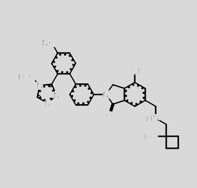 Cn1cnnc1-c1cc(C#N)ccc1-c1cccc(N2Cc3c(cc(CNCC4(O)CCC4)cc3C(F)(F)F)C2=O)c1